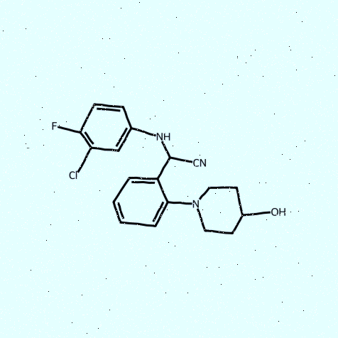 N#CC(Nc1ccc(F)c(Cl)c1)c1ccccc1N1CCC(O)CC1